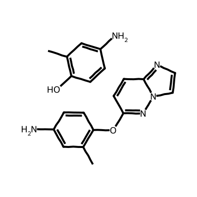 Cc1cc(N)ccc1O.Cc1cc(N)ccc1Oc1ccc2nccn2n1